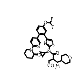 O=C(O)CC(CC1CCOCC1)C(=O)N(c1nc(-c2cc(OC(F)F)ccc2-c2ccc(N3CCCCC3=O)nc2)cs1)C1CC1